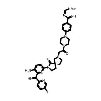 CN/C=N\C(=N)c1ccc(N2CCN(C(=O)CN3CC[C@]4(CCN(c5ccc(N)c(C(=N)c6ccc(F)cn6)n5)C4=O)C3)CC2)cc1